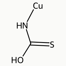 OC(=S)[NH][Cu]